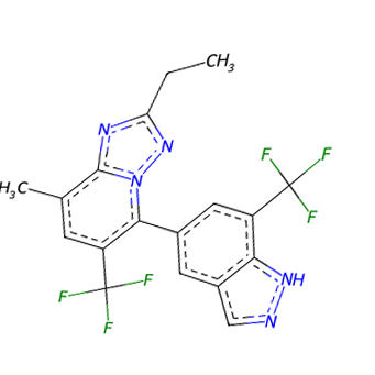 CCc1nc2c(C)cc(C(F)(F)F)c(-c3cc(C(F)(F)F)c4[nH]ncc4c3)n2n1